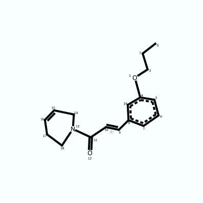 CCCOc1cccc(/C=C/C(=O)N2CC=CCC2)c1